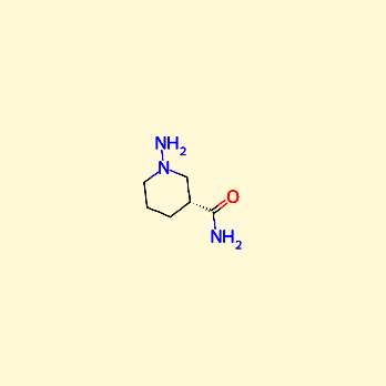 NC(=O)[C@@H]1CCCN(N)C1